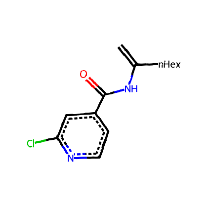 C=C(CCCCCC)NC(=O)c1ccnc(Cl)c1